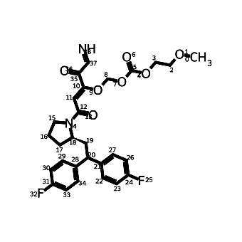 COCCOC(=O)OCO/C(=C\C(=O)N1CCC[C@@H]1CC(c1ccc(F)cc1)c1ccc(F)cc1)C(=O)C=N